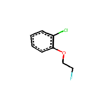 FCCOc1cc[c]cc1Cl